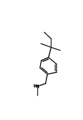 CCC(C)(C)c1ccc(CNC)cc1